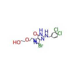 O=c1[nH]c(NCc2ccc(Cl)c(Cl)c2)nc2c(Br)nn(CCOCCO)c12